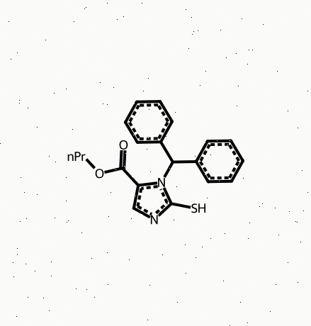 CCCOC(=O)c1cnc(S)n1C(c1ccccc1)c1ccccc1